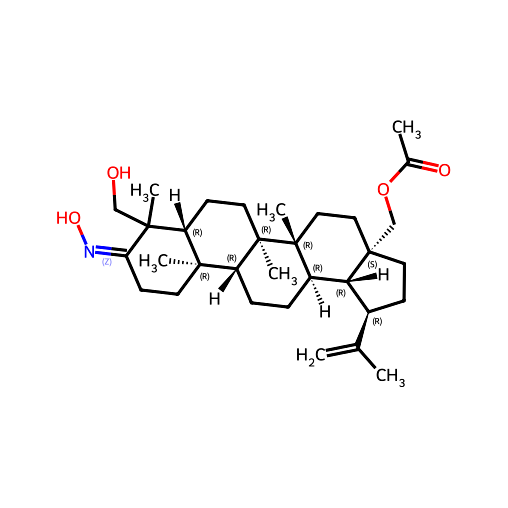 C=C(C)[C@@H]1CC[C@]2(COC(C)=O)CC[C@]3(C)[C@H](CC[C@@H]4[C@@]5(C)CC/C(=N/O)C(C)(CO)[C@@H]5CC[C@]43C)[C@@H]12